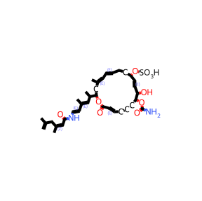 C=C(C)C/C(C)=C\C(=O)N/C=C/C(C)=C/C(C)C1C/C(C)=C/C=C/CCC(OS(=O)(=O)O)/C=C/C(O)C(OC(N)=O)CCC/C=C/C(=O)O1